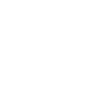 CCCCCCCOC(=O)N=c1ccn(-c2ccccc2)nc1